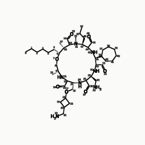 CCCCCC[C@H]1OC[C@@H](C)NC(C=O)[C@@H](COC2CC(CN)C2)NC(C=O)[C@H](CN)NC(C=O)[C@H](C2CCCCCC2)NC(C=O)[C@H](CCC)N(C)C(C=O)[C@H]1C